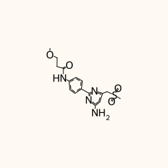 COCCC(=O)Nc1ccc(-c2nc(N)cc(CS(C)(=O)=O)n2)cc1